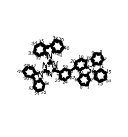 c1ccc([Si](c2ccccc2)(c2ccccc2)c2cccc(-c3cccc(-c4nc(-n5c6ccccc6c6ccccc65)nc(-n5c6ccccc6c6ccccc65)n4)c3)c2)cc1